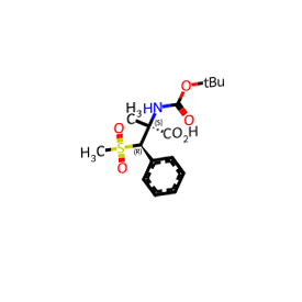 CC(C)(C)OC(=O)N[C@@](C)(C(=O)O)[C@@H](c1ccccc1)S(C)(=O)=O